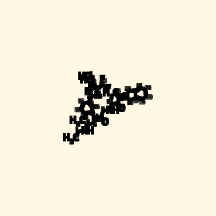 CCNCCN(C(=O)CNCC(=O)N(C)N1Cc2ccccc2C1)c1cc(-c2noc(C(F)F)n2)ccc1C.Cl.Cl